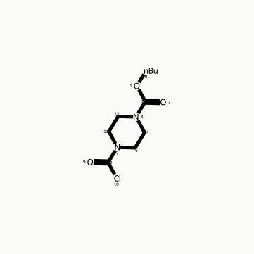 CCCCOC(=O)N1CCN(C(=O)Cl)CC1